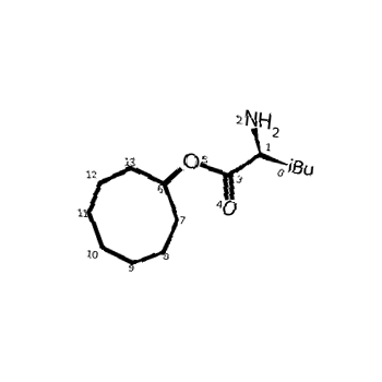 CC[C@H](C)[C@H](N)C(=O)OC1CCCCCCC1